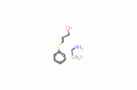 NCC(=O)O.OCCCSc1ccccc1